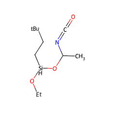 CCO[SiH](CCC(C)(C)C)OC(C)N=C=O